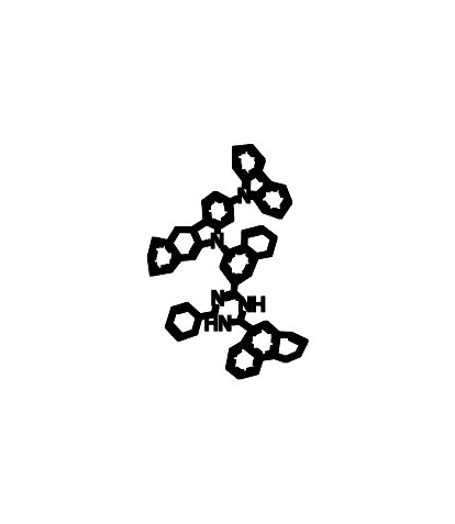 C1=CCC(C2N=C(c3cc4c(c(N5C6=Cc7ccccc7CC6c6ccc(-n7c8ccccc8c8ccccc87)cc65)c3)C=CCC4)NC(c3cc4c(c5ccccc35)CCC=C4)N2)C=C1